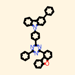 c1ccc(-c2ccc3c(c2)c2ccccc2n3-c2ccc(-c3nc(-c4ccccc4)nc(-c4cccc5oc6ccccc6c45)n3)cc2)cc1